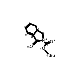 CC(C)(C)OC(=O)N1CC2CC=CC=C2C1=O